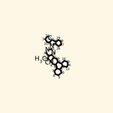 CC1(C)c2cc3c4ccccc4c4ccccc4c3cc2-c2nc(-n3c4ccccc4c4ccccc43)ncc21